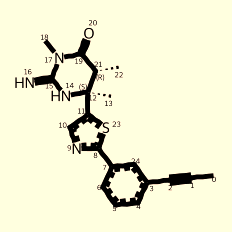 CC#Cc1cccc(-c2ncc([C@@]3(C)NC(=N)N(C)C(=O)[C@@H]3C)s2)c1